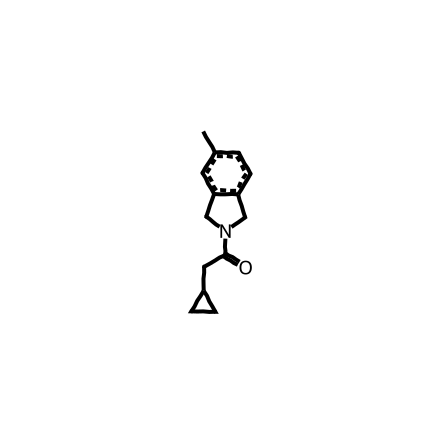 Cc1ccc2c(c1)CN(C(=O)CC1CC1)C2